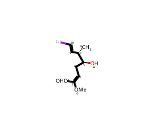 CO/C(C=O)=C/C[C@H](O)[C@@H](C)/C=C/I